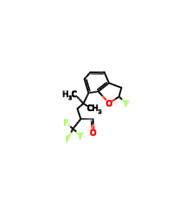 CC(C)(CC(C=O)C(F)(F)F)c1cccc2c1OC(F)C2